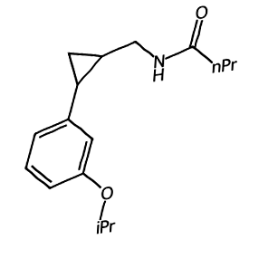 CCCC(=O)NCC1CC1c1cccc(OC(C)C)c1